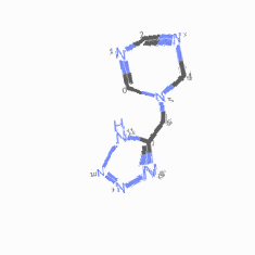 C1=NC=NCN1Cc1nnn[nH]1